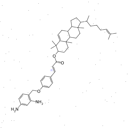 CC(C)=CCCCC(C)C1CCC2C3CC=C4C(C)(C)C(OC(=O)/C=C/c5ccc(OCc6ccc(N)cc6N)cc5)CCC4(C)C3CCC12C